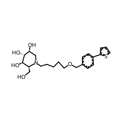 OC[C@H]1[C@@H](O)[C@H](O)[C@@H](O)CN1CCCCCOCc1ccc(-c2cccs2)cc1